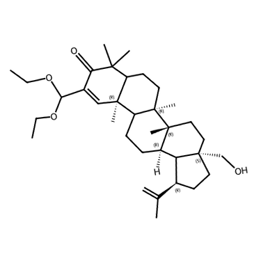 C=C(C)[C@@H]1CC[C@]2(CO)CC[C@]3(C)[C@H](CCC4[C@@]5(C)C=C(C(OCC)OCC)C(=O)C(C)(C)C5CC[C@]43C)C12